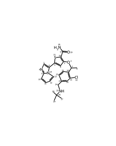 CC(Oc1cc(-c2cnc3ccccn23)sc1C(N)=O)c1ccc(CNC(C)(C)C)cc1Cl